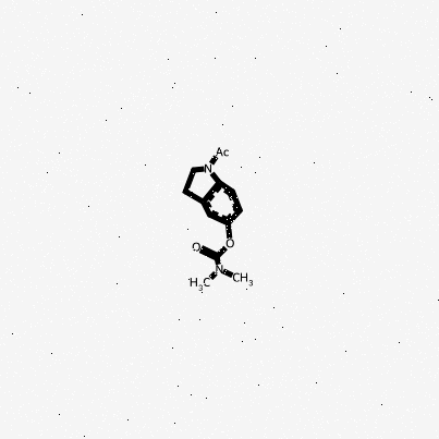 CC(=O)N1CCc2cc(OC(=O)N(C)C)ccc21